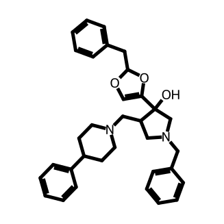 OC1(C2=COC(Cc3ccccc3)O2)CN(Cc2ccccc2)CC1CN1CCC(c2ccccc2)CC1